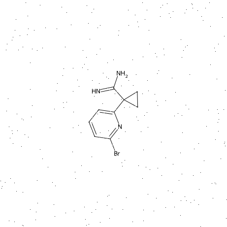 N=C(N)C1(c2cccc(Br)n2)CC1